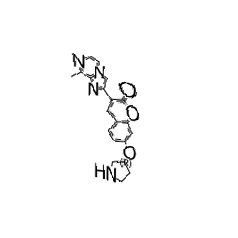 Cc1nccn2cc(-c3cc4ccc(O[C@@H]5CCNC5)cc4oc3=O)nc12